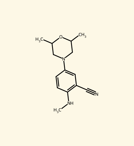 CNc1ccc(N2CC(C)OC(C)C2)cc1C#N